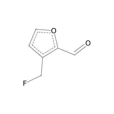 O=Cc1occc1CF